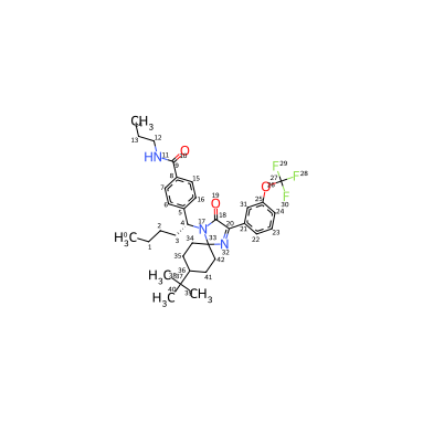 CCCC[C@H](c1ccc(C(=O)NCCC)cc1)N1C(=O)C(c2cccc(OC(F)(F)F)c2)=NC12CCC(C(C)(C)C)CC2